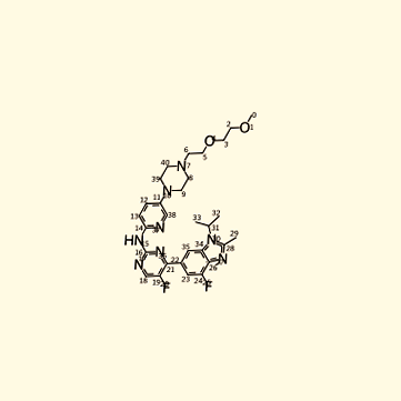 COCCOCCN1CCN(c2ccc(Nc3ncc(F)c(-c4cc(F)c5nc(C)n(C(C)C)c5c4)n3)nc2)CC1